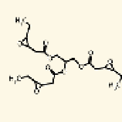 CCC1OC1CC(=O)OCC(COC(=O)CC1OC1CC)OC(=O)CC1OC1CC